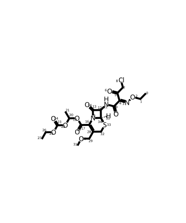 CCO/N=C(\C(=O)CCl)C(=O)NC1C(=O)N2C(C(=O)OC(C)OC(=O)OCC)=C(COC)CS[C@H]12